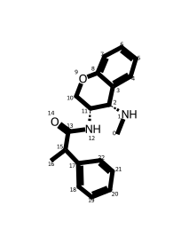 CN[C@H]1c2ccccc2OC[C@H]1NC(=O)C(C)c1ccccc1